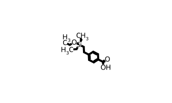 CCO[Si](CC)(CC)CCc1ccc(C(=O)O)cc1